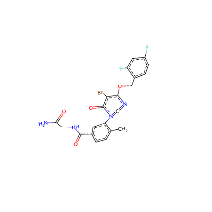 Cc1ccc(C(=O)NCC(N)=O)cc1-n1cnc(OCc2ccc(F)cc2F)c(Br)c1=O